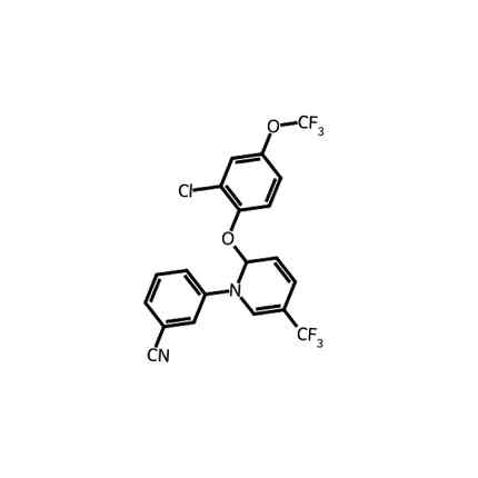 N#Cc1cccc(N2C=C(C(F)(F)F)C=CC2Oc2ccc(OC(F)(F)F)cc2Cl)c1